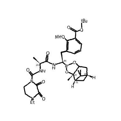 CCN1CCN(C(=O)N[C@@H](C)C(=O)N[C@@H](Cc2cccc(C(=O)OC(C)(C)C)c2OC)B2OC3C[C@@H]4C[C@@H](C4(C)C)[C@]3(C)O2)C(=O)C1=O